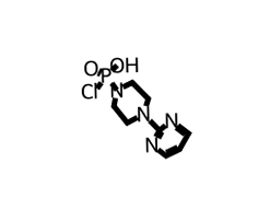 O=P(O)(Cl)N1CCN(c2ncccn2)CC1